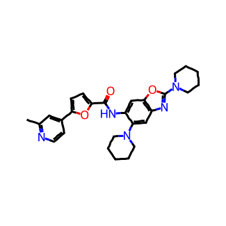 Cc1cc(-c2ccc(C(=O)Nc3cc4oc(N5CCCCC5)nc4cc3N3CCCCC3)o2)ccn1